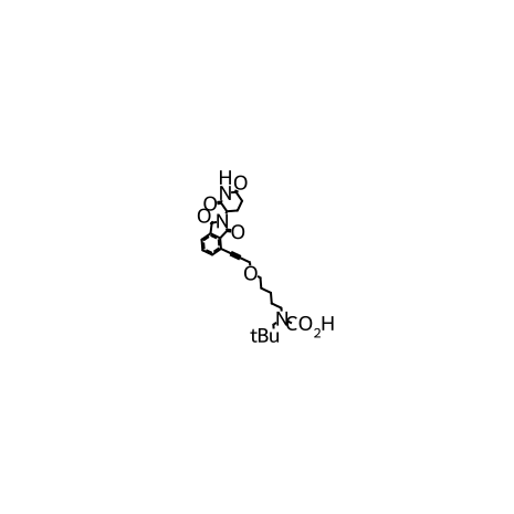 CC(C)(C)CN(CCCCCOCC#Cc1cccc2c1C(=O)N(C1CCC(=O)NC1=O)C2=O)C(=O)O